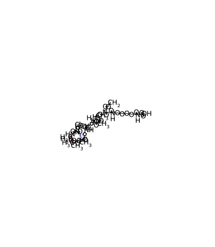 C=CCOC(=O)CCN(CCC(=O)C[C@H](C(=O)N[C@@H](C)C(=O)Nc1ccc(COC(=O)NCc2ccc([C@H]3O[C@@H]3[C@@H](C)[C@@H]3C/C=C/C(=O)N[C@H](Cc4ccc(OC)c(Cl)c4)C(=O)NCC(C)(C)C(=O)O[C@@H](CC(C)C)C(=O)O3)cc2)cc1)C(C)C)C(=O)CCC(=O)NCCOCCOCCOCCOCCC(=O)NCCS(=O)(=O)O